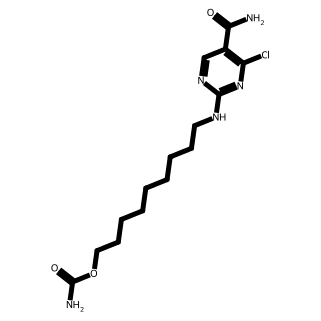 NC(=O)OCCCCCCCCCNc1ncc(C(N)=O)c(Cl)n1